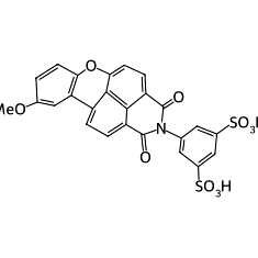 COc1ccc2oc3ccc4c(=O)n(-c5cc(S(=O)(=O)O)cc(S(=O)(=O)O)c5)c(=O)c5ccc(c2c1)c3c45